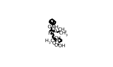 CC(C)COc1c(C(=O)NC2C3CC4CC(C3)CC2C4)cnn1/C=C/C(C)(C)C(=O)N1CCC[C@@H]1C(=O)O